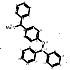 CNC(c1ccccc1)c1ccc(OP(c2ccccc2)c2ccccc2)cc1